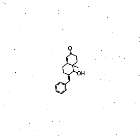 CC12CCC(=O)C=C1CCC(=Cc1ccccc1)C2O